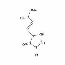 CCN1NNN(/C=C/C(=O)OC)C1=O